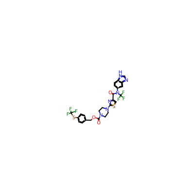 O=C(OCc1ccc(SC(F)(F)F)cc1)N1CCN(c2nc(C(=O)N(c3ccc4[nH]cnc4c3)C(F)(F)F)cs2)CC1